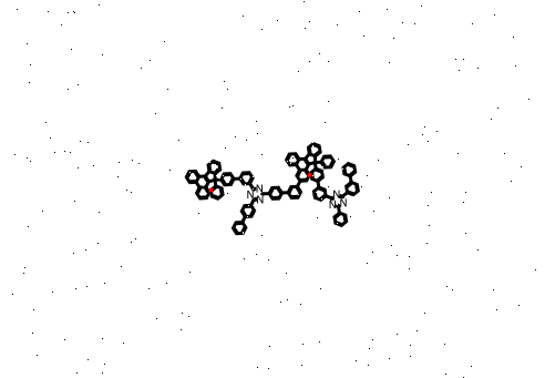 c1ccc(-c2ccc(-c3nc(-c4ccc(-c5cccc(-c6ccc7c8c(c9ccccc9c7c6)-c6ccccc6C8(c6ccccc6)c6ccc(-c7cccc(-c8nc(-c9ccccc9)nc(-c9cccc(-c%10ccccc%10)c9)n8)c7)cc6)c5)cc4)nc(-c4cccc(-c5ccc(C6(c7ccccc7)c7ccccc7-c7c6c6ccccc6c6ccccc76)cc5)c4)n3)cc2)cc1